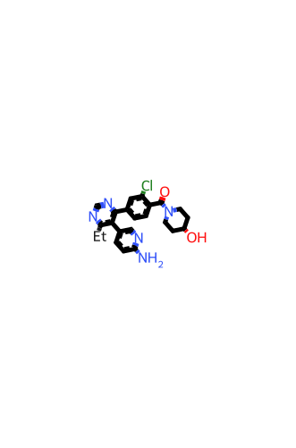 CCc1ncnc(-c2ccc(C(=O)N3CCC(O)CC3)c(Cl)c2)c1-c1ccc(N)nc1